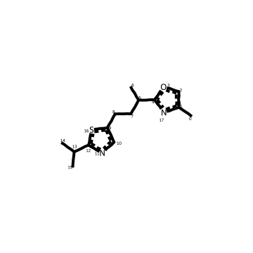 Cc1coc(C(C)CCc2cnc(C(C)C)s2)n1